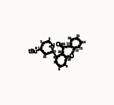 CC(C)(C)c1ccnc(-c2cccc3oc4ccccc4c(=O)c23)c1